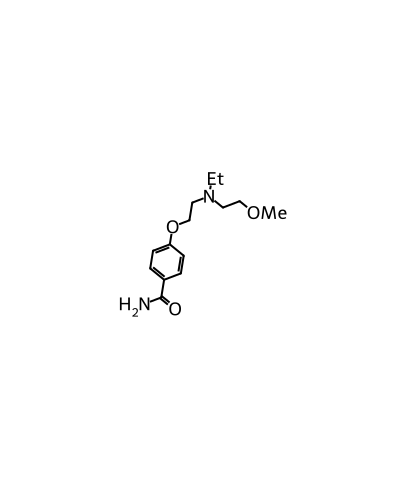 CCN(CCOC)CCOc1ccc(C(N)=O)cc1